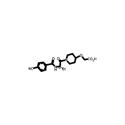 CC[C@H](NC(=O)c1ccc(C#N)cc1)C(=O)N1CCC(OCC(=O)O)CC1